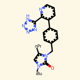 CCCc1cn(C(C)CC)c(=O)n1Cc1ccc(-c2cccnc2-c2nnn[nH]2)cc1